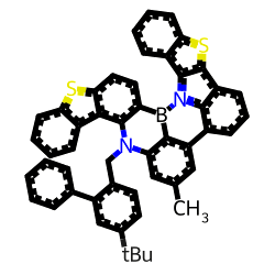 Cc1cc2c3c(c1)N(Cc1ccc(C(C)(C)C)cc1-c1ccccc1)c1c(ccc4sc5ccccc5c14)B3n1c3c-2cccc3c2sc3ccccc3c21